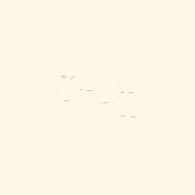 O=C(O)CC[C@H](NCc1cccc(C(=O)O)c1)C(=O)NO